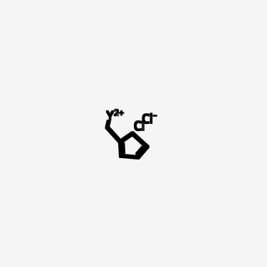 [Cl-].[Cl-].[Y+2][CH2]C1=CC=CC1